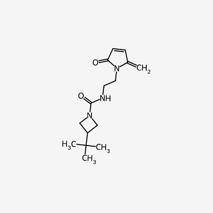 C=C1C=CC(=O)N1CCNC(=O)N1CC(C(C)(C)C)C1